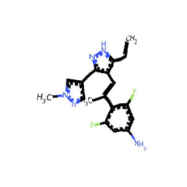 C=Cc1[nH]nc(-c2cnn(C)c2)c1/C=C(\C)c1c(F)cc(N)cc1F